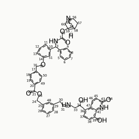 O=C(NC(c1ccccc1)c1cccc(OCc2ccc(C(=O)OCc3cccc(CCNC[C@H](O)c4ccc(O)c5[nH]c(=O)ccc45)c3)cc2)c1)O[C@H]1CN2CCC1CC2